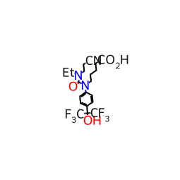 CCN(CCC#N)C(=O)N(CCCCC(=O)O)c1ccc(C(O)(C(F)(F)F)C(F)(F)F)cc1